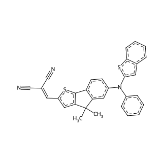 CC1(C)c2cc(N(c3ccccc3)c3cc4ccccc4s3)ccc2-c2sc(C=C(C#N)C#N)cc21